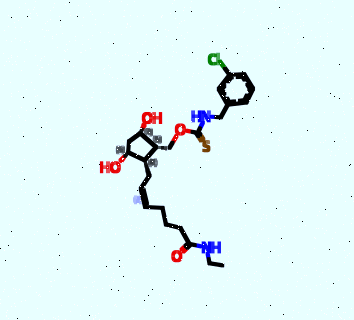 CCNC(=O)CCC/C=C\C[C@@H]1[C@@H](COC(=S)NCc2cccc(Cl)c2)[C@H](O)C[C@@H]1O